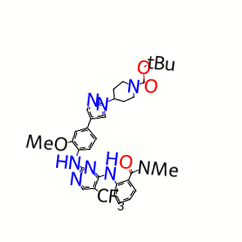 CNC(=O)c1ccccc1Nc1nc(Nc2ccc(-c3cnn(C4CCN(C(=O)OC(C)(C)C)CC4)c3)cc2OC)ncc1C(F)(F)F